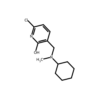 CN(Cc1ccc(Cl)nc1O)C1CCCCC1